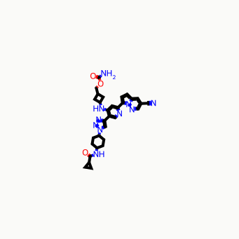 N#Cc1cnn2c(-c3cc(NC4CC(COC(N)=O)C4)c(-c4cn(C5CCC(NC(=O)C6CC6)CC5)nn4)cn3)ccc2c1